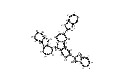 c1ccc2oc(-c3ccc4c(c3)c3cc(-c5nc6ccccc6o5)ccc3n4-c3cccc4c3sc3ccccc34)nc2c1